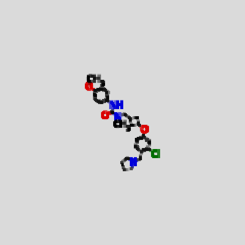 COc1ccc(NC(=O)N(C)CC2CC(Oc3ccc(CN4CCCC4)c(Cl)c3)C2)cc1